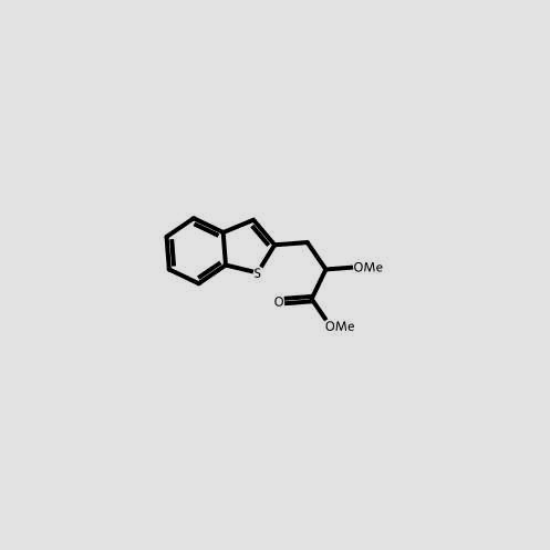 COC(=O)C(Cc1cc2ccccc2s1)OC